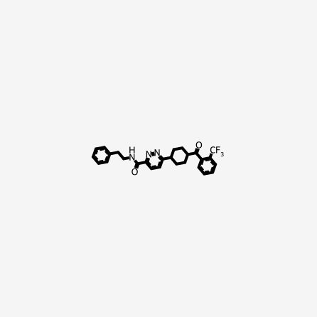 O=C(NCCc1ccccc1)c1ccc(C2CCC(C(=O)c3ccccc3C(F)(F)F)CC2)nn1